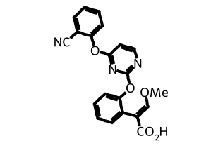 CO/C=C(/C(=O)O)c1ccccc1Oc1nccc(Oc2ccccc2C#N)n1